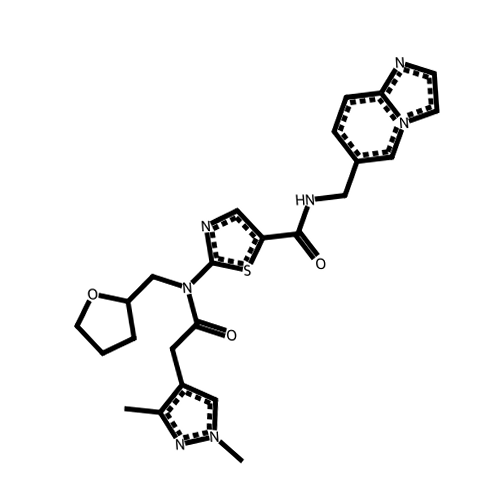 Cc1nn(C)cc1CC(=O)N(CC1CCCO1)c1ncc(C(=O)NCc2ccc3nccn3c2)s1